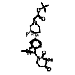 Cn1nc(N2CCC(=O)NC2=O)c2ccc([C@H]3CCN(CC(=O)OC(C)(C)C)C[C@H]3F)cc21